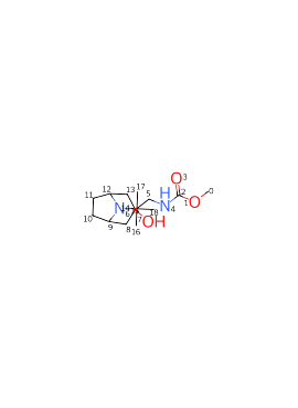 COC(=O)NCC1(O)CC2CCC(C1)N2C(C)(C)C